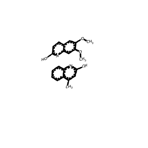 COc1cc2ccc(O)nc2cc1OC.Cc1cc(O)nc2ccccc12